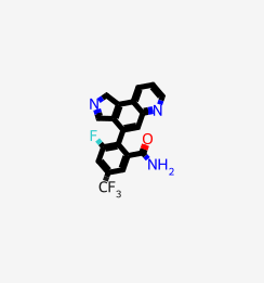 NC(=O)c1cc(C(F)(F)F)cc(F)c1-c1cc2ncccc2c2c1C=NC2